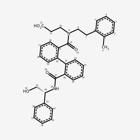 Cc1ccccc1CCN(CCC(=O)O)C(=O)c1ccccc1-c1ccccc1C(=O)N[C@@H](CO)c1ccccc1